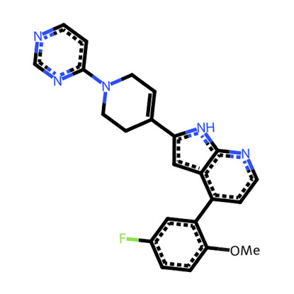 COc1ccc(F)cc1-c1ccnc2[nH]c(C3=CCN(c4ccncn4)CC3)cc12